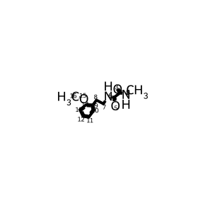 CNC(=O)C(=O)NCCc1ccccc1OC